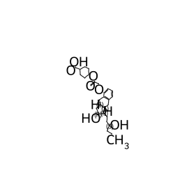 CCC[C@H](O)CC[C@@H]1[C@H]2Cc3cccc(OCC(=O)OC4CCC(C(=O)O)CC4)c3C[C@H]2C[C@H]1O